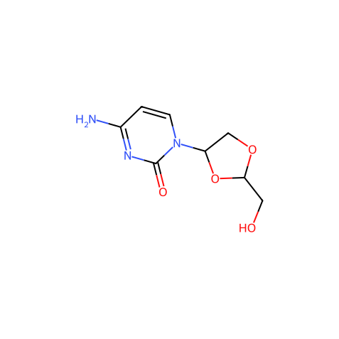 Nc1ccn(C2COC(CO)O2)c(=O)n1